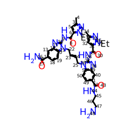 CCn1nc(C)cc1C(=O)Nc1nc2cc(C(N)=O)ccc2n1C/C=C/Cn1c(NC(=O)c2cc(C)nn2CC)nc2cc(C(=O)NCCCN)ccc21